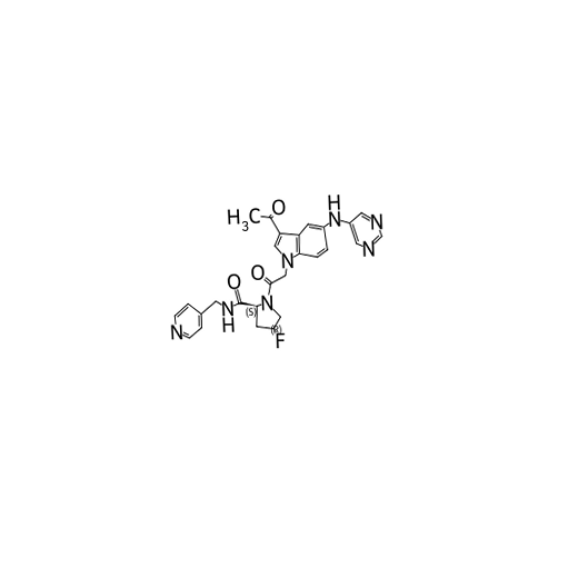 CC(=O)c1cn(CC(=O)N2C[C@H](F)C[C@H]2C(=O)NCc2ccncc2)c2ccc(Nc3cncnc3)cc12